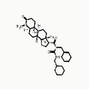 CN1C(=O)CC[C@]2(C)[C@H]3CC[C@]4(C)[C@@H](C(=O)N(CC5CCCCC5)C(=O)NCC5CCCCC5)CC[C@H]4[C@@H]3CC[C@@H]12